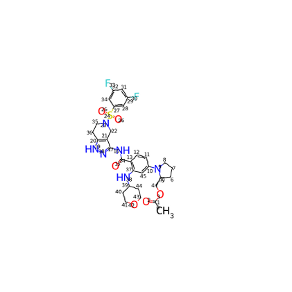 CC(=O)OC[C@@H]1CCCN1c1ccc(C(=O)Nc2n[nH]c3c2CN(S(=O)(=O)c2cc(F)cc(F)c2)CC3)c(NC2CCOCC2)c1